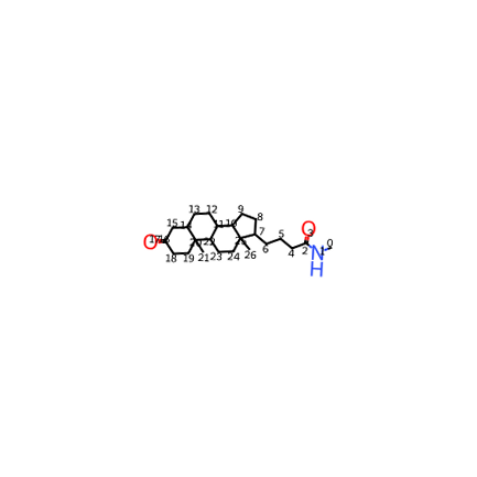 CNC(=O)CCCC1CCC2C3CCC4CC(=O)CCC4(C)C3CCC12C